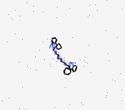 CN1/C(=C/C=C/C=C/C=C/C=C/C2=[N+](C)c3ccccc3C23CCCCC3)C2(CCCCC2)c2ccccc21